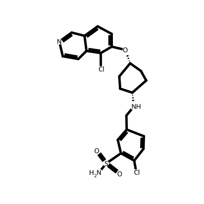 NS(=O)(=O)c1cc(CN[C@H]2CC[C@@H](Oc3ccc4cnccc4c3Cl)CC2)ccc1Cl